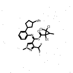 CCCC1CCC(c2ccccc2/N=C(/SC(=O)C2(CC)C(C)C2(Cl)Cl)c2cn(C)nc2C(F)F)C1